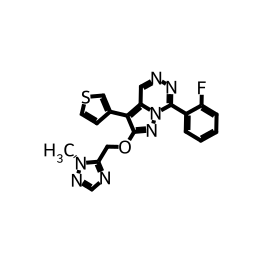 Cn1ncnc1COc1nn2c(-c3ccccc3F)nncc2c1-c1ccsc1